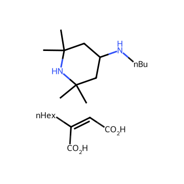 CCCCCCC(=CC(=O)O)C(=O)O.CCCCNC1CC(C)(C)NC(C)(C)C1